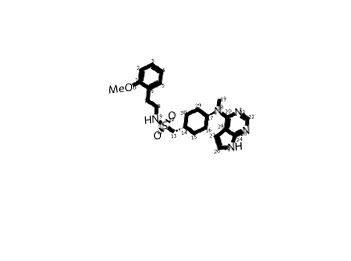 COc1ccccc1CCNS(=O)(=O)C[C@H]1CC[C@H](N(C)c2ncnc3[nH]ccc23)CC1